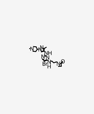 Cc1nn(C2CCN(C)CC2)cc1Nc1ncc(Br)c(NCCCN2CCC2=O)n1